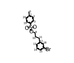 Cc1ccc(S(=O)(=O)OCCCc2cccc(Br)c2)cc1